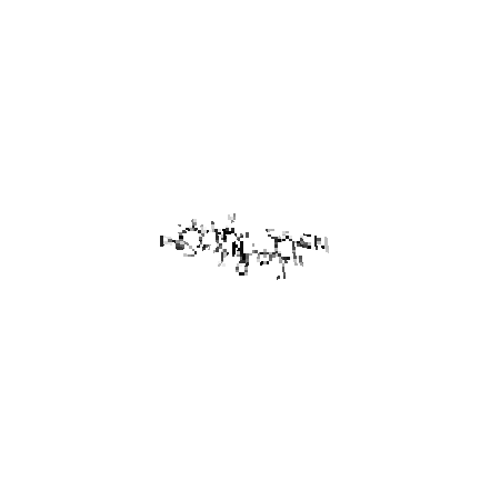 C[C@@H]1CN(Cc2ccc(F)cc2)[C@@H](C)CN1C(=O)COc1c(I)cc(C#N)cc1I